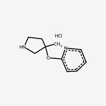 CC1(Oc2ccccn2)CCNC1.Cl